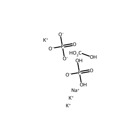 O=C(O)O.O=P([O-])(O)O.O=P([O-])([O-])[O-].[K+].[K+].[K+].[Na+]